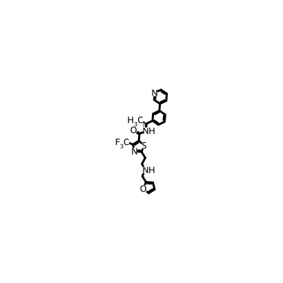 C[C@H](NC(=O)c1sc(CCNCc2ccco2)nc1C(F)(F)F)c1cccc(-c2cccnc2)c1